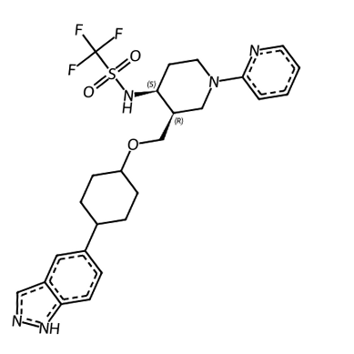 O=S(=O)(N[C@H]1CCN(c2ccccn2)C[C@H]1COC1CCC(c2ccc3[nH]ncc3c2)CC1)C(F)(F)F